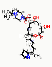 C/C(=C\C=C\[C@H](C)c1ccccn1)[C@H]1OC(=O)C[C@@H](O)CC[C@](C)(O)[C@@H](OC(=O)N2CCN(C(C)(C)C)CC2)/C=C/[C@@H]1C